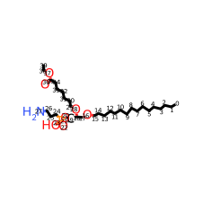 CCCCCCCCCCCCCCCCOCC(COP(=O)(O)CCCN)OCCCCCCC(=O)OCC